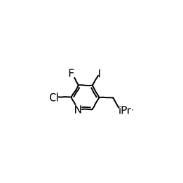 C[C](C)Cc1cnc(Cl)c(F)c1I